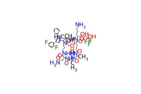 C[C@H](NC(=O)CCCC(=O)N[C@@H](CCCCN)C(=O)O)C(=O)N[C@@H](C)C(=O)N[C@@H](CC(N)=O)C(=O)NCCCN(C(=O)CO)[C@@H](c1cc(-c2cc(F)ccc2F)cn1Cc1ccccc1)C(C)(C)C.O=C(O)C(F)(F)F